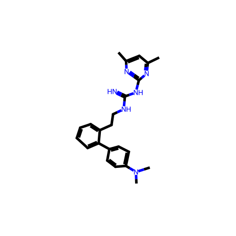 Cc1cc(C)nc(NC(=N)NCCc2ccccc2-c2ccc(N(C)C)cc2)n1